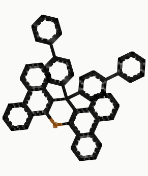 c1ccc(-c2ccc(C3(c4ccc(-c5ccccc5)cc4)c4c(c5ccccc5c5ccccc45)Sc4c3c3ccccc3c3ccccc43)cc2)cc1